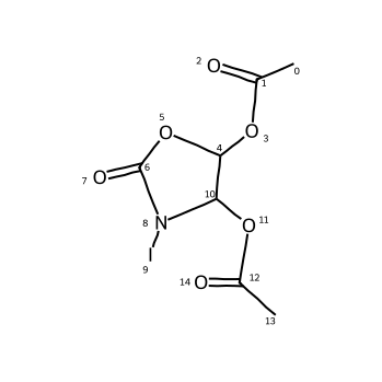 CC(=O)OC1OC(=O)N(I)C1OC(C)=O